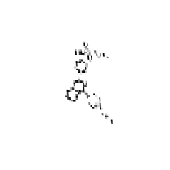 C=CS(=O)(=O)Nc1ccc(-c2cc3ccccc3c(N3CCN(CC)CC3)n2)cc1